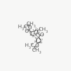 Cc1cc2n(c1C(=O)c1ccc(OC(C)C)cc1)CCC2C(=O)OC(C)C